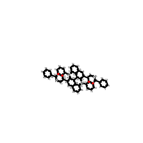 c1ccc(-c2ncc(-c3cc4cccc5c4c4c3n(-c3ccccc3)c3cccc6cc(-c7cnc(-c8ccccc8)nc7)c(c-4c63)n5-c3ccccc3)cn2)cc1